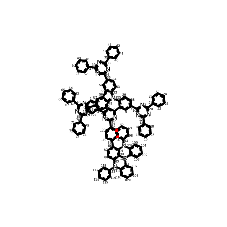 c1ccc(-c2cc(-c3cc(-c4nc(-c5ccccc5)nc(-c5ccccc5)n4)ccc3-n3c4ccc(-c5nc(-c6ccccc6)nc(-c6ccccc6)n5)cc4c4cc(-c5nc(-c6ccccc6)nc(-c6ccccc6)n5)ccc43)nc(-c3ccc(-c4ccc5c6c4N(c4ccccc4)c4ccccc4B6c4ccccc4N5c4ccccc4)cc3)n2)cc1